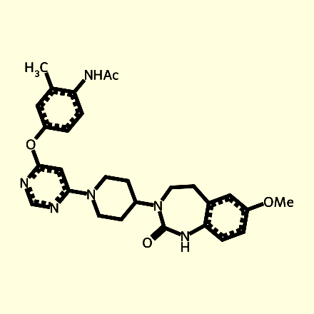 COc1ccc2c(c1)CCN(C1CCN(c3cc(Oc4ccc(NC(C)=O)c(C)c4)ncn3)CC1)C(=O)N2